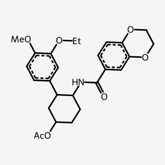 CCOc1cc(C2CC(OC(C)=O)CCC2NC(=O)c2ccc3c(c2)OCCO3)ccc1OC